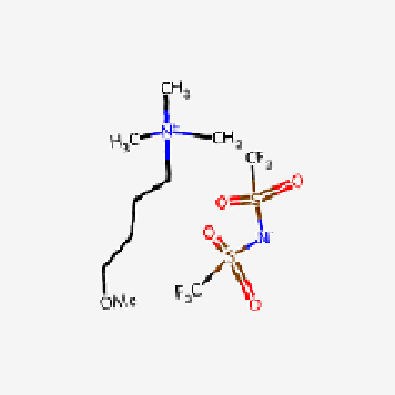 COCCCC[N+](C)(C)C.O=S(=O)([N-]S(=O)(=O)C(F)(F)F)C(F)(F)F